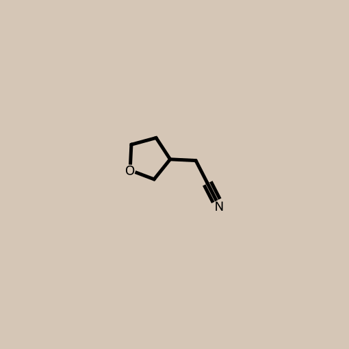 N#CCC1CCOC1